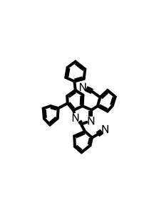 N#Cc1ccccc1-c1nc(-c2ccccc2C#N)c2cc(-c3ccccc3)cc(-c3ccccc3)c2n1